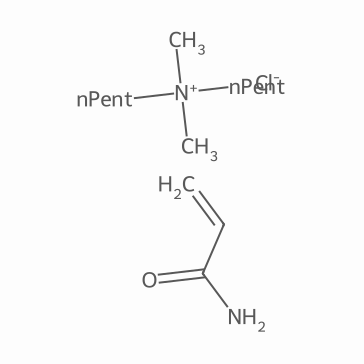 C=CC(N)=O.CCCCC[N+](C)(C)CCCCC.[Cl-]